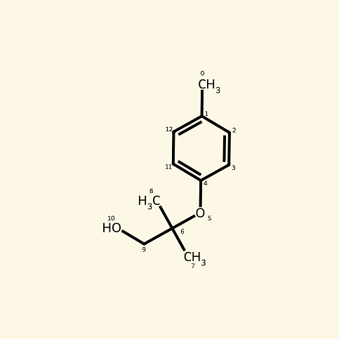 Cc1ccc(OC(C)(C)CO)cc1